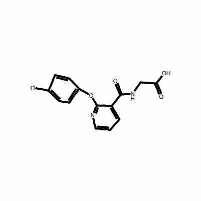 O=C(O)CNC(=O)c1cccnc1Oc1ccc(Cl)cc1